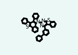 c1ccc(-c2cccc(-c3nc(-n4c5ccccc5c5c6c7ccccc7sc6c6ccccc6c54)nc4sc5ccccc5c34)c2)cc1